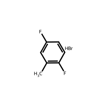 Br.Cc1cc(F)ccc1F